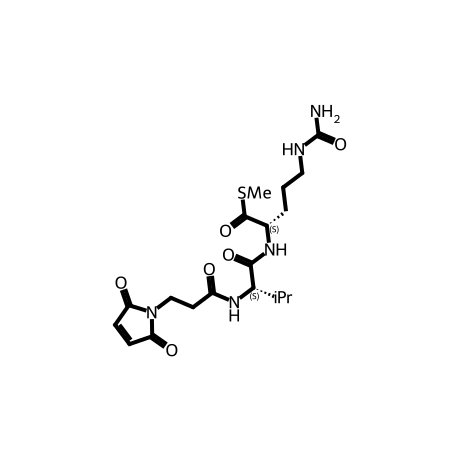 CSC(=O)[C@H](CCCNC(N)=O)NC(=O)[C@@H](NC(=O)CCN1C(=O)C=CC1=O)C(C)C